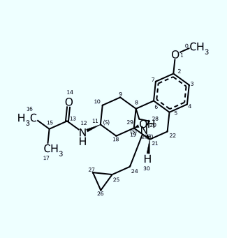 COc1ccc2c(c1)C13CC[C@H](NC(=O)C(C)C)C[C@@]1(O)[C@@H](C2)N(CC1CC1)CC3